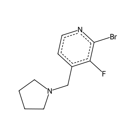 Fc1c(CN2CCCC2)ccnc1Br